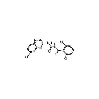 O=C(NC(=O)c1c(Cl)cccc1Cl)Nc1cnc2ccc(Cl)cc2n1